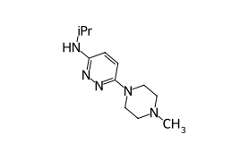 CC(C)Nc1ccc(N2CCN(C)CC2)nn1